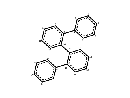 [c]1ccc(-c2ccccc2)c(-c2ccccc2-c2ccccc2)c1